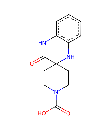 O=C(O)N1CCC2(CC1)Nc1ccccc1NC2=O